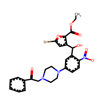 CCOC(=O)c1oc(Br)cc1C(O)c1cc(N2CCN(CC(=O)c3ccccc3)CC2)ccc1[N+](=O)[O-]